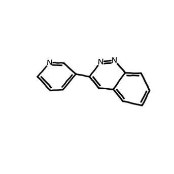 c1cncc(-c2cc3ccccc3nn2)c1